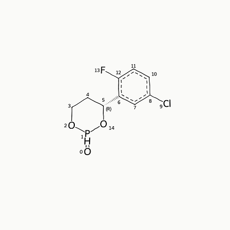 O=[PH]1OCC[C@H](c2cc(Cl)ccc2F)O1